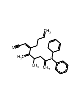 C=CCC/C(=C/C#N)C(=C)C(C)CC(=C)N(c1ccccc1)C1C=CC=CC1